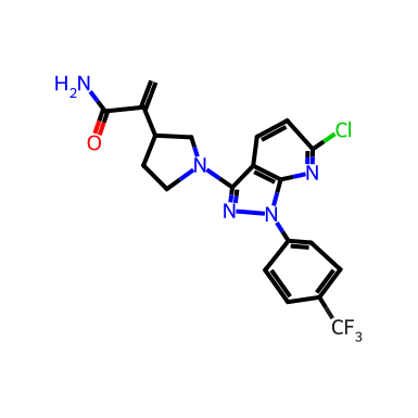 C=C(C(N)=O)C1CCN(c2nn(-c3ccc(C(F)(F)F)cc3)c3nc(Cl)ccc23)C1